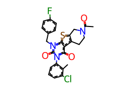 CC(=O)N1CCc2c(sc3c2c(=O)n(-c2cccc(Cl)c2C)c(=O)n3Cc2ccc(F)cc2)C1